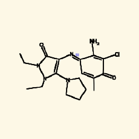 CCn1c(N2CCCC2)c(/N=C2\C=C(C)C(=O)C(Cl)=C2N)c(=O)n1CC